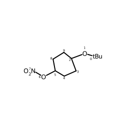 CC(C)(C)OC1CCC(O[N+](=O)[O-])CC1